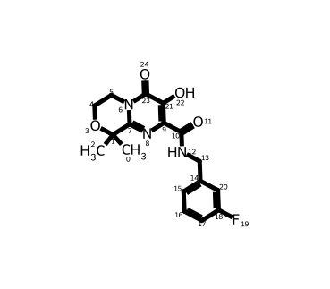 CC1(C)OCCn2c1nc(C(=O)NCc1cccc(F)c1)c(O)c2=O